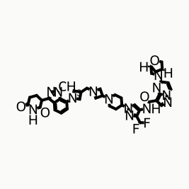 Cn1nc(C2CCC(=O)NC2=O)c2cccc(N3CC(CN4CC(N5CCC(n6cc(NC(=O)c7cnn8ccc(N9C[C@H]%10C[C@@H]9CO%10)nc78)c(C(F)F)n6)CC5)C4)C3)c21